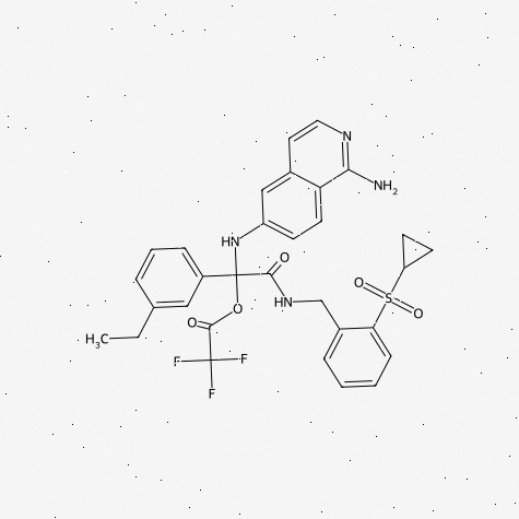 CCc1cccc(C(Nc2ccc3c(N)nccc3c2)(OC(=O)C(F)(F)F)C(=O)NCc2ccccc2S(=O)(=O)C2CC2)c1